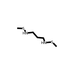 CSNCCCNSC